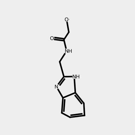 [O]CC(=O)NCc1nc2ccccc2[nH]1